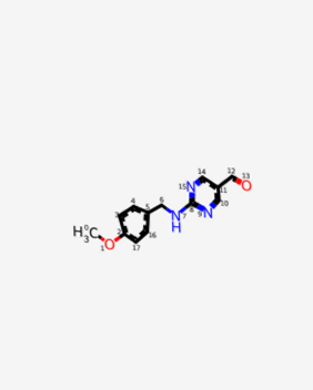 COc1ccc(CNc2ncc(C=O)cn2)cc1